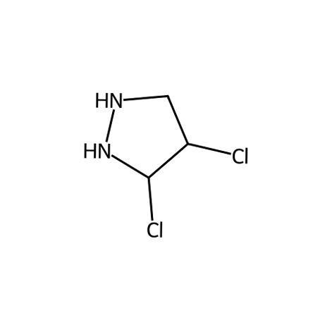 ClC1CNNC1Cl